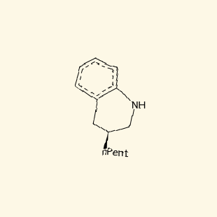 CCCCC[C@@H]1CNc2ccccc2C1